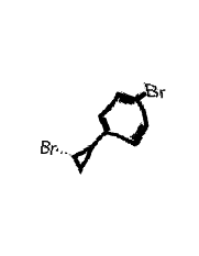 Brc1ccc(C2C[C@@H]2Br)cc1